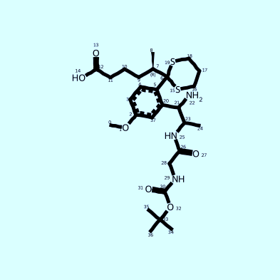 COc1ccc(C2([C@H](C)CCCC(=O)O)SCCCS2)c(C(N)C(C)NC(=O)CNC(=O)OC(C)(C)C)c1